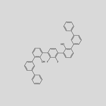 Oc1c(-c2cccc(-c3ccccc3)c2)cccc1-c1ccc(-c2cccc(-c3cccc(-c4ccccc4)c3)c2O)c(F)c1F